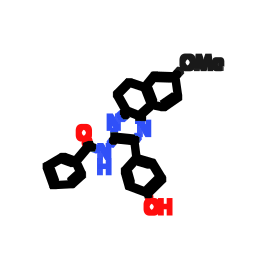 COc1ccc2c(c1)CCc1nc(NC(=O)c3ccccc3)c(-c3ccc(O)cc3)nc1-2